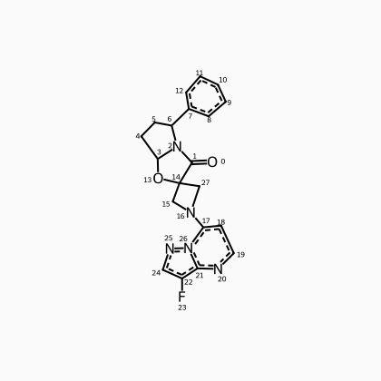 O=C1N2C(CCC2c2ccccc2)OC12CN(c1ccnc3c(F)cnn13)C2